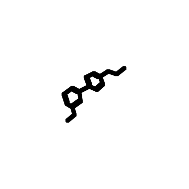 CCCc1ccc(-c2cccc(CC)c2)cc1